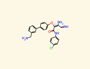 N=C/C(N)=C(/Oc1ccc(-c2cccc(CN)c2)cc1)C(=O)Nc1ccc(Cl)cc1